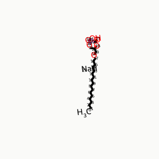 CCCCCCCCCCCCCCCCCCOCC1COP(=O)(O)C(=O)O1.[NaH]